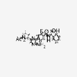 CC(=O)N1CCCC(c2cnc(N)c(-c3ccc(C(=O)N[C@H](CO)c4ccccc4)c(F)c3)n2)C1